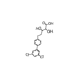 O=C(O)C(O)C(O)CCc1ccc(-c2cc(Cl)cc(Cl)c2)cc1